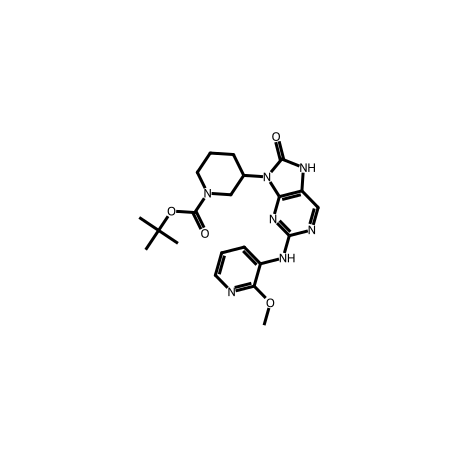 COc1ncccc1Nc1ncc2[nH]c(=O)n(C3CCCN(C(=O)OC(C)(C)C)C3)c2n1